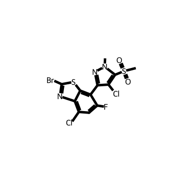 Cn1nc(-c2c(F)cc(Cl)c3nc(Br)sc23)c(Cl)c1S(C)(=O)=O